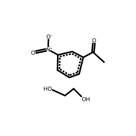 CC(=O)c1cccc([N+](=O)[O-])c1.OCCO